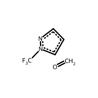 C=O.FC(F)(F)n1cccn1